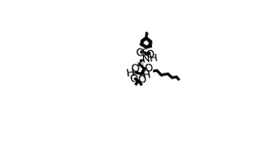 CCCCCCCO[C@@H]1[C@H]2OC(C)(C)O[C@H]2O[C@@H]1CNS(=O)(=O)c1ccc(C)cc1